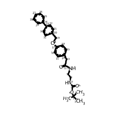 CC(C)(C)OC(=O)NCCNC(=O)Cc1ccc(OCc2ccc(-c3ccccc3)cc2)cc1